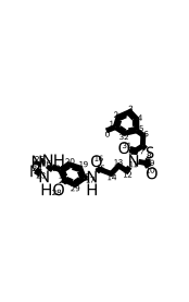 Cc1cccc(CC2SC(=O)N(CCCC(=O)Nc3ccc(-c4nnn[nH]4)c(O)c3)C2=O)c1